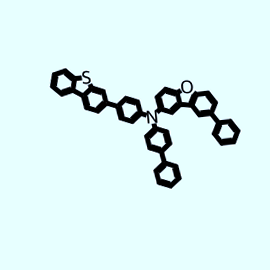 c1ccc(-c2ccc(N(c3ccc(-c4ccc5c(c4)sc4ccccc45)cc3)c3ccc4oc5ccc(-c6ccccc6)cc5c4c3)cc2)cc1